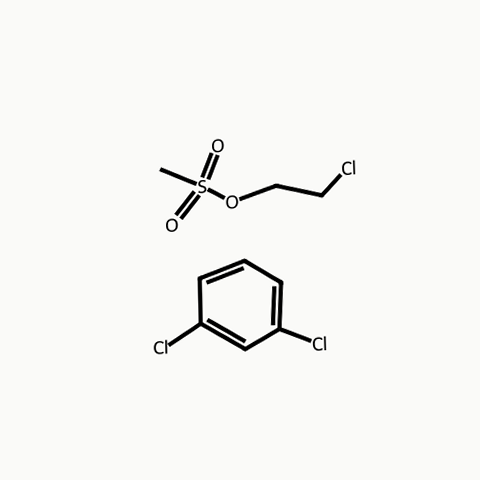 CS(=O)(=O)OCCCl.Clc1cccc(Cl)c1